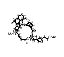 COCCn1cc(C(=O)N[S@@]2(=O)=NC(=O)c3ccc4c(c3)N(C[C@@H]3CC[C@H]3[C@@H](OC)/C=C/C[C@H](C)C2)C[C@@]2(CCCc3cc(C)ccc32)CO4)cn1